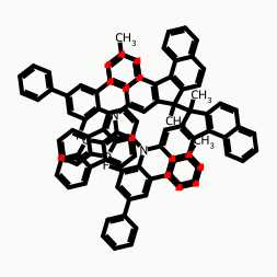 Cc1cccc(-c2cc(-c3ccccc3)cc(F)c2N(c2cc3c(c4ccccc24)-c2c(ccc4ccccc24)C3(C)C2(C)c3ccc4ccccc4c3-c3c2cc(N(c2c(F)cc(-c4ccccc4)cc2-c2cccc(C)c2)c2cccc4c2oc2ccccc24)c2ccccc32)c2cccc3c2oc2ccccc23)c1